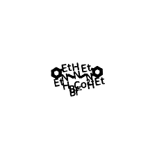 CCc1cccc(CC)c1NCCNCCNc1c(CC)cccc1CC.[Br-].[Br-].[Co+2]